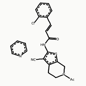 CC(=O)N1CCc2c(sc(NC(=O)C=Cc3ccccc3Cl)c2C#N)C1.c1ccncc1